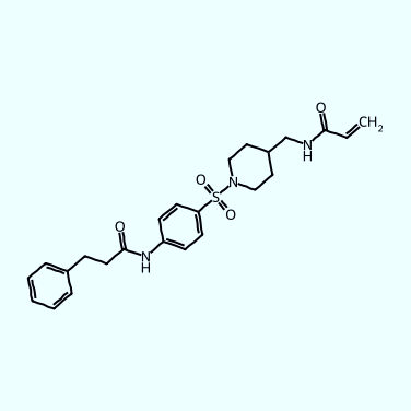 C=CC(=O)NCC1CCN(S(=O)(=O)c2ccc(NC(=O)CCc3ccccc3)cc2)CC1